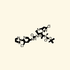 CC(c1c(NC(=O)Nc2cnc(-n3nccn3)c(Cl)c2)cnc2cc(Cl)nn12)N(C)C(=O)OC(C)(C)C